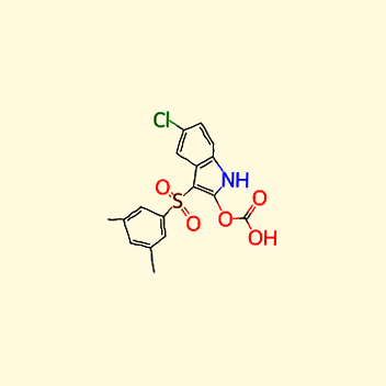 Cc1cc(C)cc(S(=O)(=O)c2c(OC(=O)O)[nH]c3ccc(Cl)cc23)c1